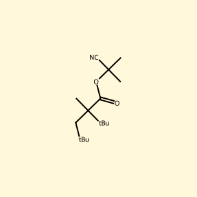 CC(C)(C)CC(C)(C(=O)OC(C)(C)C#N)C(C)(C)C